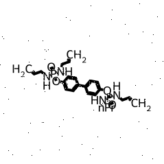 C=CCNP(=O)(NCC=C)Oc1ccc(-c2ccc(OP(=O)(NCC=C)NCCC)cc2)cc1